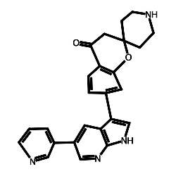 O=C1CC2(CCNCC2)Oc2cc(-c3c[nH]c4ncc(-c5cccnc5)cc34)ccc21